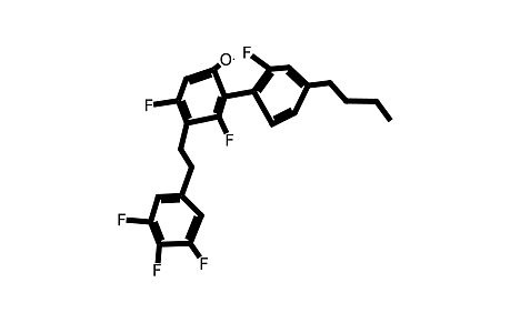 CCCCc1ccc(-c2c([O])cc(F)c(CCc3cc(F)c(F)c(F)c3)c2F)c(F)c1